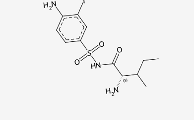 CCC(C)[C@H](N)C(=O)NS(=O)(=O)c1ccc(N)c(I)c1